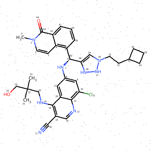 Cn1ccc2c([C@H](Nc3cc(Cl)c4ncc(C#N)c(NCC(C)(C)CO)c4c3)C3=CN(CCC4CCC4)NN3)cccc2c1=O